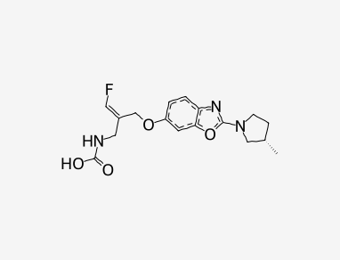 C[C@H]1CCN(c2nc3ccc(OC/C(=C\F)CNC(=O)O)cc3o2)C1